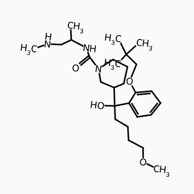 CNCC(C)NC(=O)N1CCCC(C(O)(CCCCOC)c2ccccc2OCC(C)(C)C)C1